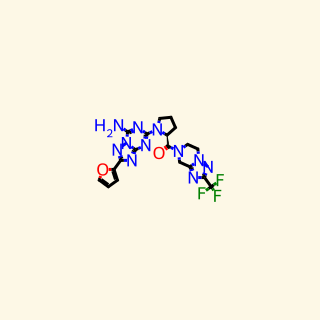 Nc1nc(N2CCC[C@H]2C(=O)N2CCn3nc(C(F)(F)F)nc3C2)nc2nc(-c3ccco3)nn12